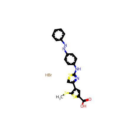 Br.CSc1sc(C(=O)O)cc1-c1csc(Nc2ccc(N=Nc3ccccc3)cc2)n1